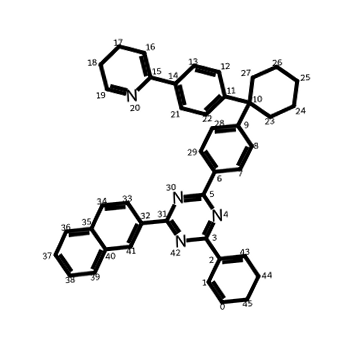 C1=CC(c2nc(-c3ccc(C4(c5ccc(C6=CCCC=N6)cc5)CCCCC4)cc3)nc(-c3ccc4ccccc4c3)n2)=CCC1